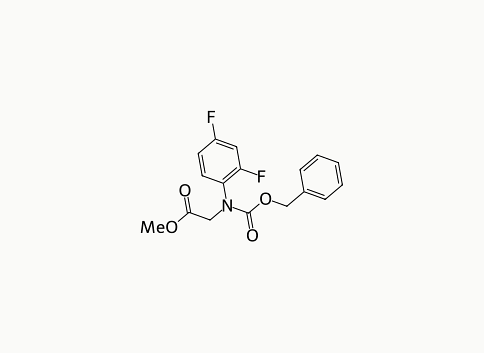 COC(=O)CN(C(=O)OCc1ccccc1)c1ccc(F)cc1F